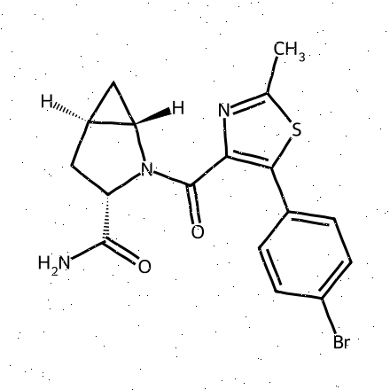 Cc1nc(C(=O)N2[C@H](C(N)=O)C[C@H]3C[C@@H]32)c(-c2ccc(Br)cc2)s1